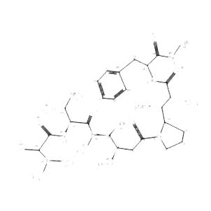 CC[C@H](C)[C@@H]([C@@H](CC(=O)N1CCCC1[C@H](OC)[C@@H](C)C(=O)NC(Cc1ccccc1)C(=O)NC(C)(C)C)OC)N(C)C(=O)[C@@H](NC(=O)C(C(C)C)N(C)C)[C@H](C)N